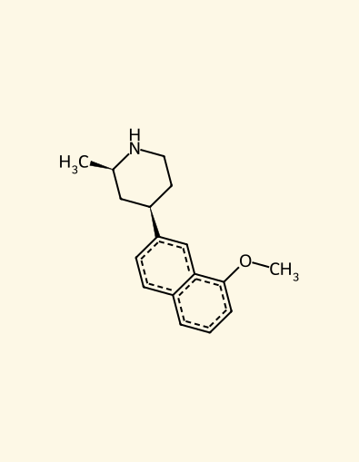 COc1cccc2ccc([C@@H]3CCN[C@H](C)C3)cc12